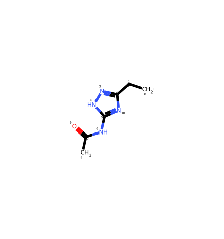 [CH2]Cc1n[nH]c(NC(C)=O)n1